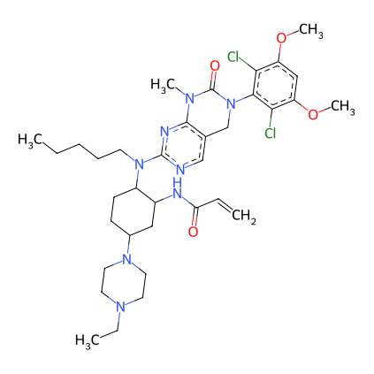 C=CC(=O)NC1CC(N2CCN(CC)CC2)CCC1N(CCCCC)c1ncc2c(n1)N(C)C(=O)N(c1c(Cl)c(OC)cc(OC)c1Cl)C2